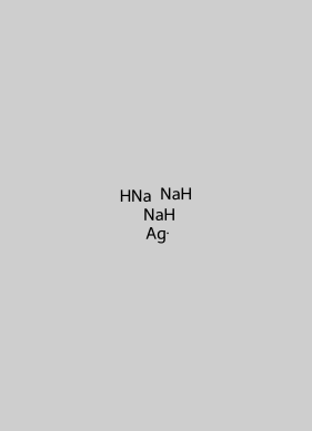 [Ag].[NaH].[NaH].[NaH]